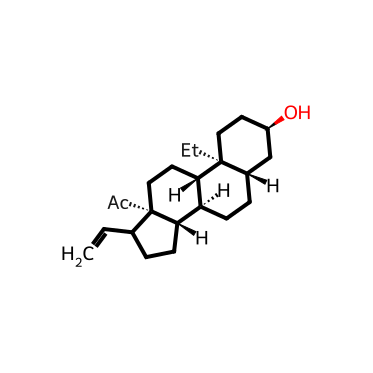 C=CC1CC[C@H]2[C@@H]3CC[C@H]4C[C@H](O)CC[C@]4(CC)[C@H]3CC[C@]12C(C)=O